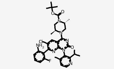 Cc1ccnc(C(C)C)c1-n1c(=O)nc(N2C[C@@H](C)N(C(=O)OC(C)(C)C)C[C@@H]2C)c2cc(Cl)c(-c3c(N)cccc3F)nc21